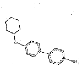 Nc1ccc(-c2ccc(OC3CCCCC3)nc2)cc1